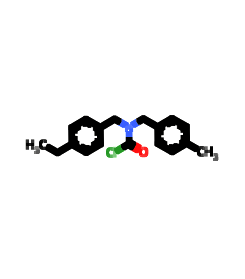 CCc1ccc(CN(Cc2ccc(C)cc2)C(=O)Cl)cc1